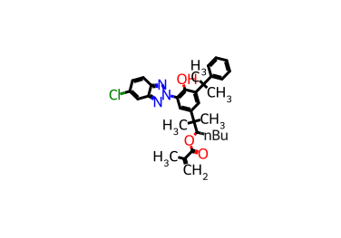 C=C(C)C(=O)OC(CCCC)C(C)(C)c1cc(-n2nc3ccc(Cl)cc3n2)c(O)c(C(C)(C)c2ccccc2)c1